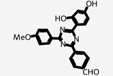 COc1ccc(-c2nc(-c3ccc(C=O)cc3)nc(-c3ccc(O)cc3O)n2)cc1